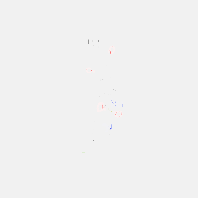 CC(=O)SCC(=O)c1ccc(NS(=O)(=O)c2ccc3cc(CF)ccc3n2)cc1